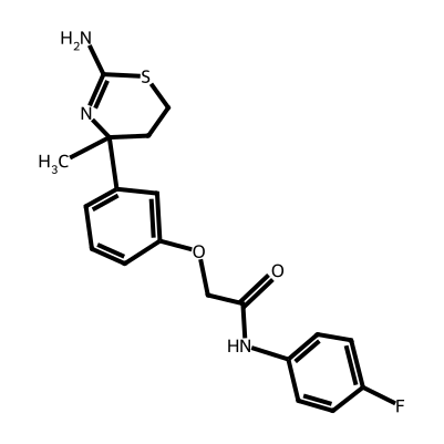 CC1(c2cccc(OCC(=O)Nc3ccc(F)cc3)c2)CCSC(N)=N1